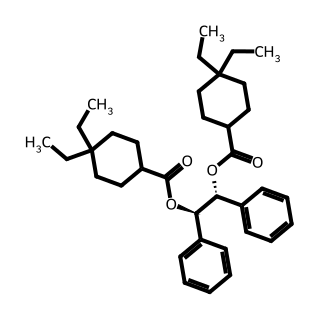 CCC1(CC)CCC(C(=O)O[C@H](c2ccccc2)[C@H](OC(=O)C2CCC(CC)(CC)CC2)c2ccccc2)CC1